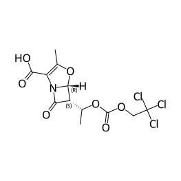 CC1=C(C(=O)O)N2C(=O)[C@@H](C(C)OC(=O)OCC(Cl)(Cl)Cl)[C@H]2O1